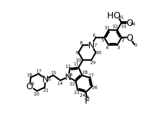 COc1ccc(CN2CCC(c3cn(CCN4CCOCC4)c4cc(F)ccc34)CC2)cc1C(=O)O